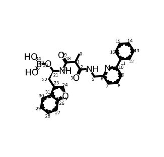 CC(C(=O)NCc1cccc(-c2ccccc2)n1)C(=O)N[C@@H](Cc1coc2ccccc12)OB(O)O